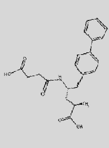 C[C@H](C[C@@H](Cc1ccc(-c2ccccc2)cc1)NC(=O)CCC(=O)O)C(=O)O